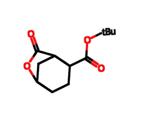 CC(C)(C)OC(=O)C1CCC2CC1C(=O)O2